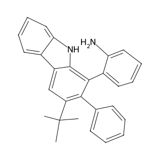 CC(C)(C)c1cc2c([nH]c3ccccc32)c(-c2ccccc2N)c1-c1ccccc1